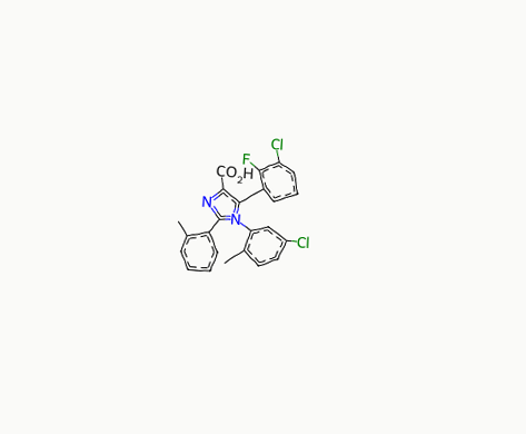 Cc1ccccc1-c1nc(C(=O)O)c(-c2cccc(Cl)c2F)n1-c1cc(Cl)ccc1C